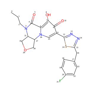 CCCN1C(=O)c2c(O)c(=O)c(-c3nnc(Cc4ccc(F)cc4)s3)cn2C2COCC21